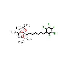 CC(C)O[Si](CCCCCCCc1c(F)c(F)c(F)c(F)c1F)(OC(C)C)OC(C)C